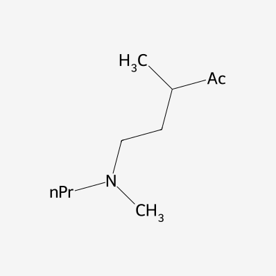 CCCN(C)CCC(C)C(C)=O